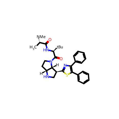 CN[C@@H](C)C(=O)N[C@H](C(=O)N1CC[C@H]2NC[C@H](c3nc(-c4ccccc4)c(-c4ccccc4)s3)[C@H]21)C(C)(C)C